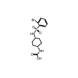 O=C(O)N[C@H]1CC[C@@H](NS(=O)(=O)c2ccccc2Br)CC1